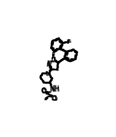 CS(=O)(=O)N[C@H]1CCCN(C2=NOC(c3ccccc3-c3c(F)cccc3F)C2)C1